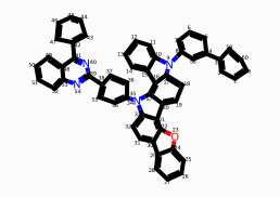 c1ccc(-c2cccc(-n3c4ccccc4c4c3ccc3c5c6oc7ccccc7c6ccc5n(-c5ccc(-c6nc(-c7ccccc7)c7ccccc7n6)cc5)c34)c2)cc1